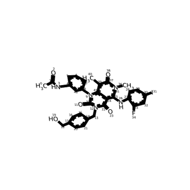 CC(=O)Nc1cccc(-n2c(=O)n(Cc3ccc(CO)cc3)c(=O)c3c(Nc4ccc(I)cc4F)n(C)c(=O)c(C)c32)c1